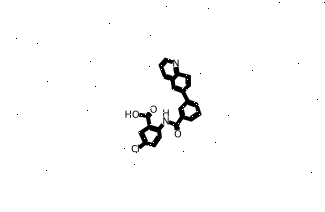 O=C(Nc1ccc(Cl)cc1C(=O)O)c1cccc(-c2ccc3ncccc3c2)c1